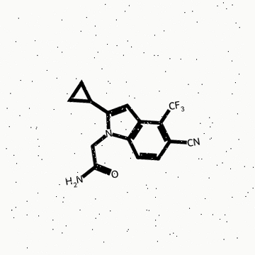 N#Cc1ccc2c(cc(C3CC3)n2CC(N)=O)c1C(F)(F)F